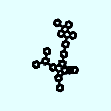 c1ccc(-c2ccc3c(c2)c2cc(-c4ccccc4)ccc2n3-c2ccc(-c3nc(-c4ccccc4)cc(-c4ccccc4)n3)cc2-c2nc(-c3ccccc3)nc(-c3ccc(-c4ccc(N5c6ccccc6B6c7ccccc7N(c7ccccc7)c7cccc5c76)cc4)cc3)n2)cc1